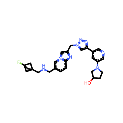 OC1CCN(c2cncc(-c3cn(Cc4cn5cc(CNCC67CC(F)(C6)C7)ccc5n4)nn3)c2)C1